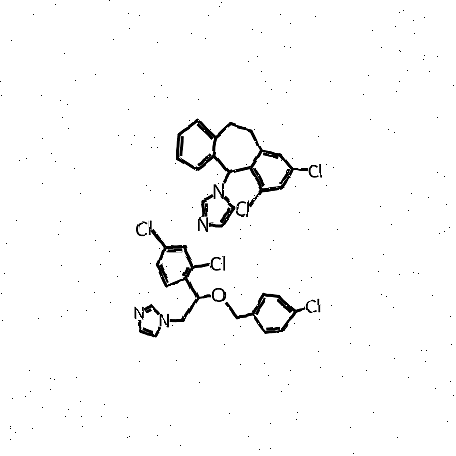 Clc1cc(Cl)c2c(c1)CCc1ccccc1C2n1ccnc1.Clc1ccc(COC(Cn2ccnc2)c2ccc(Cl)cc2Cl)cc1